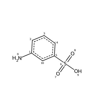 Nc1cc[c]c(S(=O)(=O)O)c1